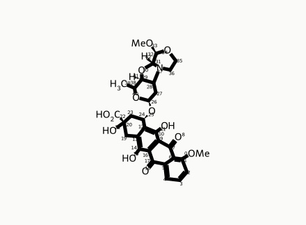 COc1cccc2c1C(=O)c1c(O)c3c(c(O)c1C2=O)C[C@@](O)(C(=O)O)C[C@@H]3O[C@H]1CC2[C@H](O[C@@H]3[C@@H](OC)OCCN23)C(C)O1